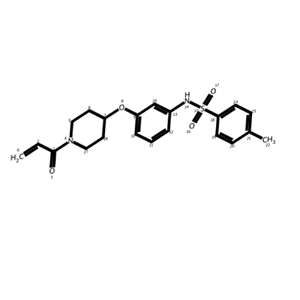 C=CC(=O)N1CCC(Oc2cccc(NS(=O)(=O)c3ccc(C)cc3)c2)CC1